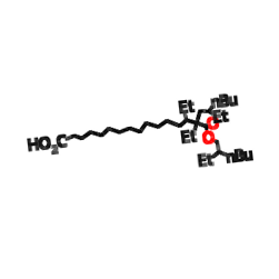 CCCCC(CC)COC(=O)C(CC)(CC(CC)CCCC)C(CC)CCCCCCCCCCCCC(=O)O